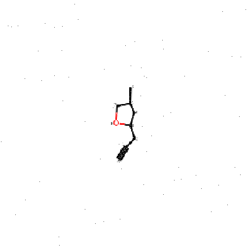 C#CCC1CC(C)CO1